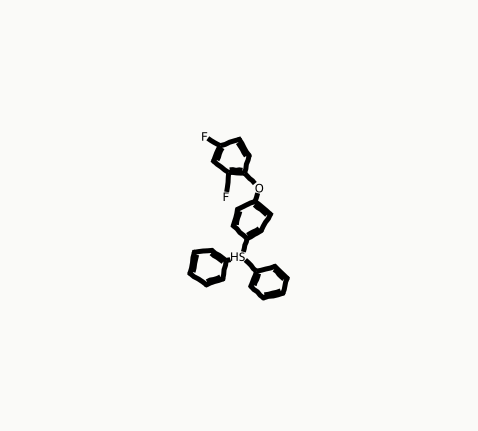 Fc1ccc(Oc2ccc([SH](c3ccccc3)c3ccccc3)cc2)c(F)c1